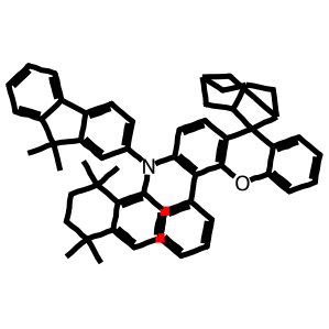 CC1(C)CCC(C)(C)c2c(N(c3ccc4c(c3)C(C)(C)c3ccccc3-4)c3ccc4c(c3-c3ccccc3)Oc3ccccc3C43C4CC5CC(C4)C3C5)cccc21